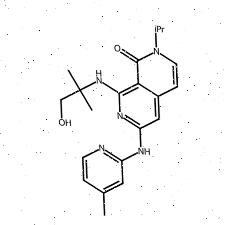 Cc1ccnc(Nc2cc3ccn(C(C)C)c(=O)c3c(NC(C)(C)CO)n2)c1